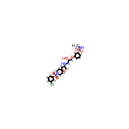 CNS(=O)(=O)c1cccc(OCC(O)CN[C@H]2COC3(CCN(S(=O)(=O)c4cccc(Cl)c4)CC3)C2)c1